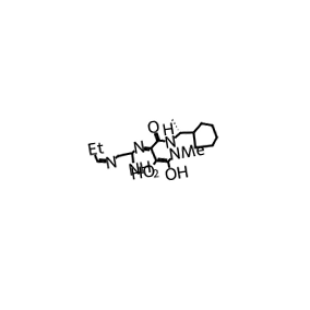 CC/C=N\CC(N)/N=C(C(=O)N[C@H](C)C1CCCCC1)\C(O)=C(\O)NC